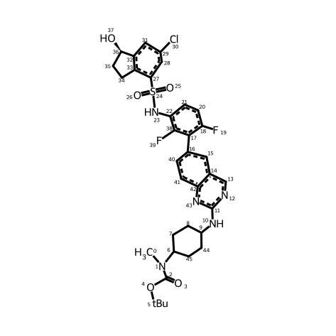 CN(C(=O)OC(C)(C)C)C1CCC(Nc2ncc3cc(-c4c(F)ccc(NS(=O)(=O)c5cc(Cl)cc6c5CC[C@H]6O)c4F)ccc3n2)CC1